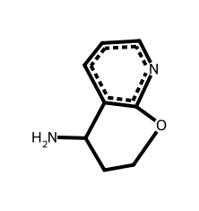 NC1CCOc2ncccc21